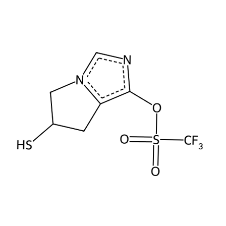 O=S(=O)(Oc1ncn2c1CC(S)C2)C(F)(F)F